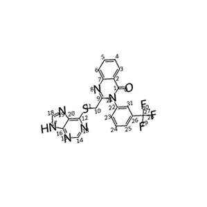 O=c1c2ccccc2nc(CSc2ncnc3[nH]cnc23)n1-c1cccc(C(F)(F)F)c1